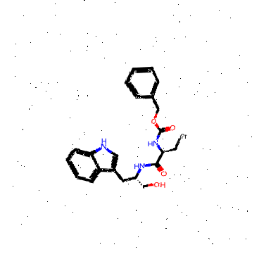 CC(C)C[C@H](NC(=O)OCc1ccccc1)C(=O)N[C@H](CO)Cc1c[nH]c2ccccc12